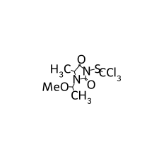 COC(C)N1C(=O)N(SC(Cl)(Cl)Cl)C(=O)C1C